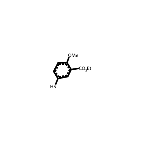 CCOC(=O)c1cc(S)ccc1OC